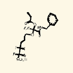 C=CC(=O)OC(OCCCC(F)(F)C(F)(F)S(=O)(=O)O)(C(=O)NCc1ccccc1)C(F)(F)F